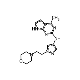 Cc1nc(Nc2cnn(CCN3CCOCC3)c2)nc2[nH]ccc12